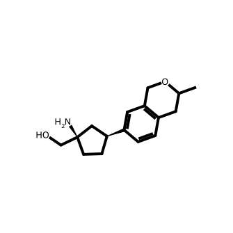 CC1Cc2ccc([C@H]3CC[C@](N)(CO)C3)cc2CO1